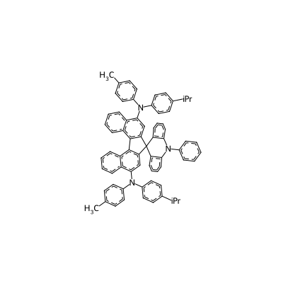 Cc1ccc(N(c2ccc(C(C)C)cc2)c2cc3c(c4ccccc24)-c2c(cc(N(c4ccc(C)cc4)c4ccc(C(C)C)cc4)c4ccccc24)C32c3ccccc3N(c3ccccc3)c3ccccc32)cc1